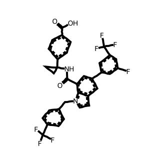 O=C(O)c1ccc(C2(NC(=O)c3cc(-c4cc(F)cc(C(F)(F)F)c4)cc4ccn(Cc5ccc(C(F)(F)F)cc5)c34)CC2)cc1